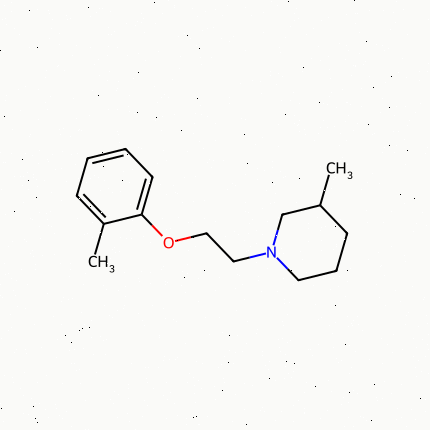 Cc1ccccc1OCCN1CCCC(C)C1